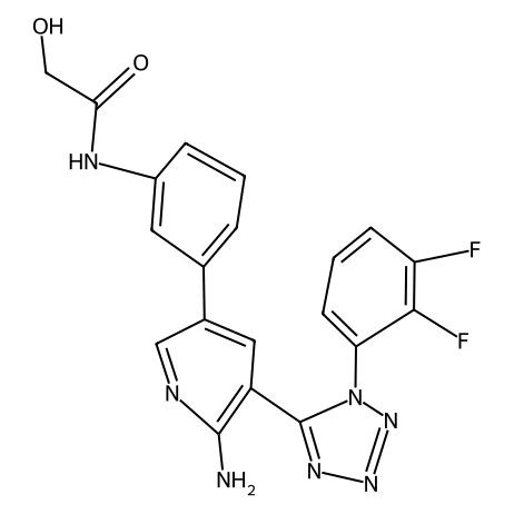 Nc1ncc(-c2cccc(NC(=O)CO)c2)cc1-c1nnnn1-c1cccc(F)c1F